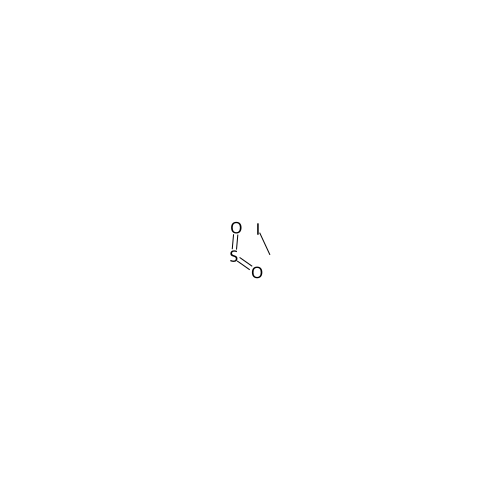 CI.O=S=O